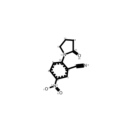 N#Cc1cc([N+](=O)[O-])ccc1N1CCCC1=O